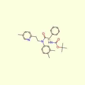 Cc1ccc(CCN(C(=O)[C@@H](NC(=O)OC(C)(C)C)c2ccccc2)c2ccc(C)c(C)c2)nc1